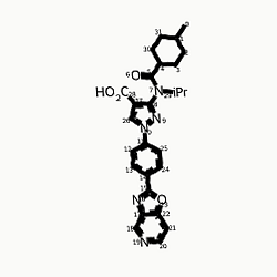 CC1CCC(C(=O)N(c2nn(-c3ccc(-c4nc5cnccc5o4)cc3)cc2C(=O)O)C(C)C)CC1